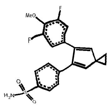 COc1c(F)cc(C2=CC3(C=C2c2ccc(S(N)(=O)=O)cc2)CC3)cc1F